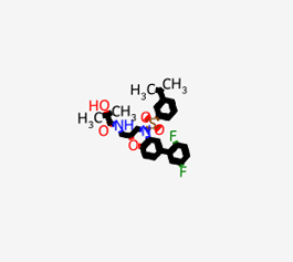 CC(C)c1cccc(S(=O)(=O)N2CC(CNC(=O)C(C)(C)O)Oc3ccc(-c4cc(F)ccc4F)cc32)c1